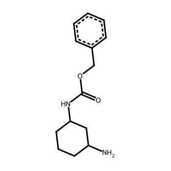 NC1CCCC(NC(=O)OCc2ccccc2)C1